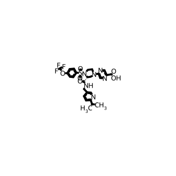 CC(C)c1ccc(CNC(=O)[C@H]2CN(c3cnc(C(=O)O)cn3)CCN2S(=O)(=O)c2ccc(OC(F)(F)F)cc2)cn1